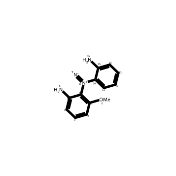 COc1cccc(N)c1[N+](=[N-])c1ccccc1N